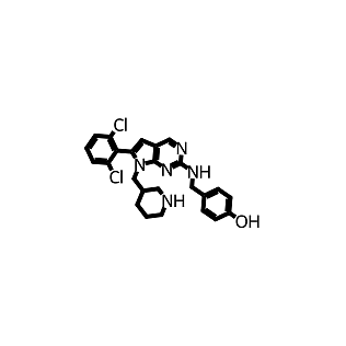 Oc1ccc(CNc2ncc3cc(-c4c(Cl)cccc4Cl)n(CC4CCCNC4)c3n2)cc1